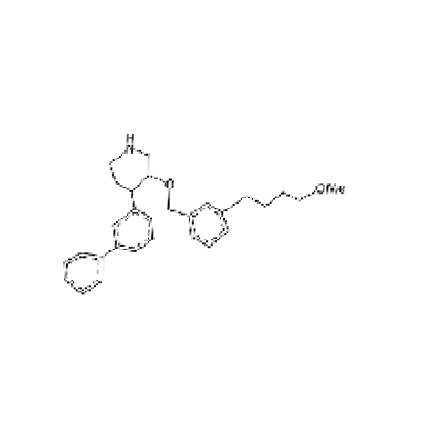 COCCCCc1cccc(COC2CNCCC2c2cccc(-c3ccccc3)c2)c1